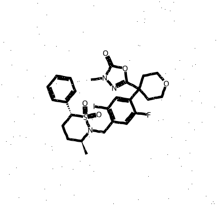 C[C@H]1CC[C@H](c2ccccc2)S(=O)(=O)N1Cc1cc(F)c(C2(c3nn(C)c(=O)o3)CCOCC2)cc1I